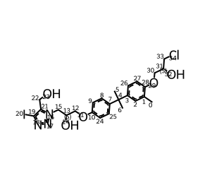 Cc1cc(C(C)(C)c2ccc(OC[C@@H](O)Cn3nnc(I)c3CO)cc2)ccc1OC[C@H](O)CCl